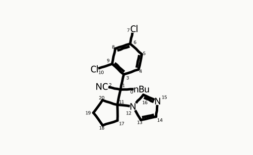 CCCCC(C#N)(c1ccc(Cl)cc1Cl)C1(n2ccnc2)CCCC1